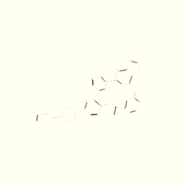 CCC(=O)NCC1CCN(c2ccc(NC(=O)c3ccc(C)c(Oc4nc(-c5cccnc5)nc5cc[nH]c45)c3)cc2C)CC1